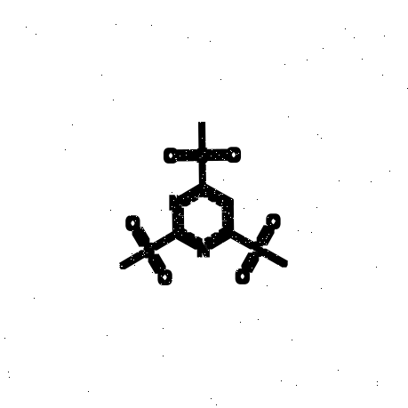 CS(=O)(=O)c1cc(S(C)(=O)=O)nc(S(C)(=O)=O)n1